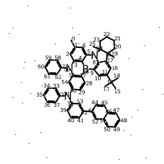 Cc1cc2c3c(c1)N1c4c(cc(C(C)(C)C)cc4C4(C)CCCCC14C)B3c1ccc(N(c3ccccc3)c3cccc(-c4ccc5ccccc5c4)c3)cc1N2c1ccccc1